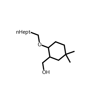 CCCCCCCCOC1CCC(C)(C)CC1CO